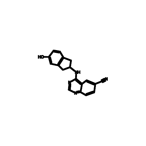 N#Cc1ccc2ncnc(NC3Cc4ccc(O)cc4C3)c2c1